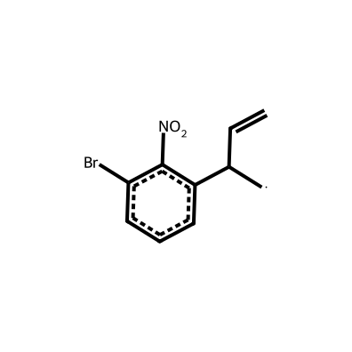 [CH2]C(C=C)c1cccc(Br)c1[N+](=O)[O-]